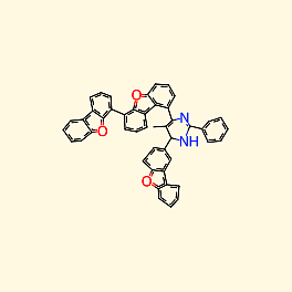 CC1=C(c2cccc3oc4c(-c5cccc6c5oc5ccccc56)cccc4c23)N=C(c2ccccc2)NC1c1ccc2oc3ccccc3c2c1